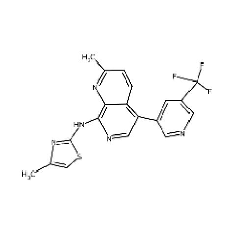 Cc1csc(Nc2ncc(-c3cncc(C(F)(F)F)c3)c3ccc(C)nc23)n1